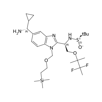 CC(C)(C)[S@@+]([O-])N[C@@H](COC(C)(C)C(C)(F)F)c1nc2cc([C@H](N)C3CC3)ccc2n1COCC[Si](C)(C)C